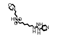 N=C(NCCCCCCS(=O)(=O)NCCCN1CCOCC1)Nc1ccncc1